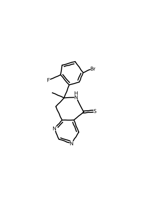 CC1(c2cc(Br)ccc2F)Cc2ncncc2C(=S)N1